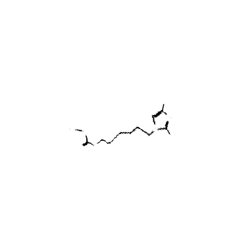 Cc1nc(I)cn1CCCCCCNC(=O)OC(C)(C)C